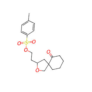 Cc1ccc(S(=O)(=O)OCCC2CC3(CCCCC3=O)CO2)cc1